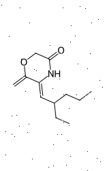 C=C1OCC(=O)N/C1=C\C(CC)CCC